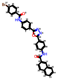 O=C(Nc1ccc(-c2nnc(-c3ccc(NC(=O)c4ccc5ccccc5c4)cc3)o2)cc1)c1ccc(Br)cc1